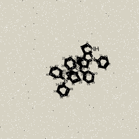 C1=CC2C(N1)N(c1ccccc1)C1CC3([Si](C4=CCCCC4)(c4ccccc4)C45C=CC(N(c6ccccc6)c6ccccc6)(CC4)C5)C=CC21C3